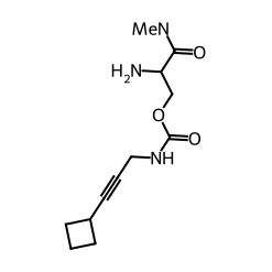 CNC(=O)C(N)COC(=O)NCC#CC1CCC1